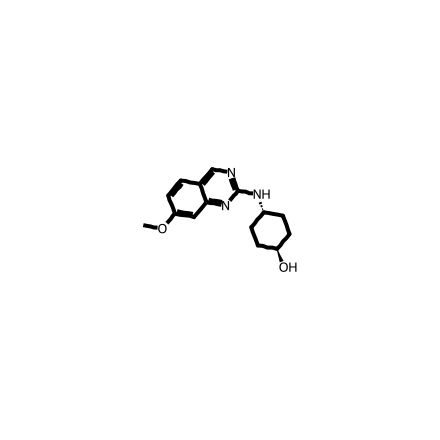 COc1ccc2cnc(N[C@H]3CC[C@H](O)CC3)nc2c1